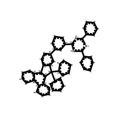 c1ccc(-c2nc(-c3ccccc3)nc(-c3cccc(-c4ccc5c(c4)C(c4ccccc4)(c4ccccc4)c4c-5c5ccccc5c5ccccc45)c3)n2)cc1